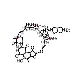 CCN1CC2CN(C(=O)O[C@H]3[C@H](C)[C@H](O)[C@H](C)[C@@H](O)[C@@H](C)/C=C/C=C(/C)C(=O)NC4=C(N5CCOCC5)C(=O)c5c(c(O)c(C)c6c5C(=O)[C@@](C)(O/C=C/[C@H](OC)[C@H]3C)O6)C4=O)CC2C1